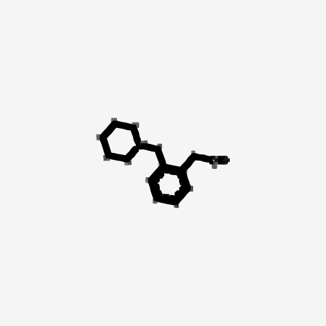 O=[C]Cc1ccccc1CN1CCCCC1